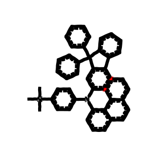 C[Si](C)(C)c1ccc(N(c2ccc3c(c2)C(c2ccccc2)(c2ccccc2)c2ccccc2-3)c2cccc3ccc4ccccc4c23)cc1